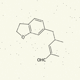 C/C(C=O)=C\C(C)Cc1ccc2c(c1)OCC2